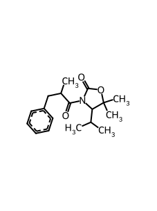 CC(Cc1ccccc1)C(=O)N1C(=O)OC(C)(C)C1C(C)C